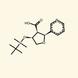 CC(C)(C)[Si](C)(C)O[C@@H]1CO[C@H](c2cccnc2)[C@@H]1C(=O)O